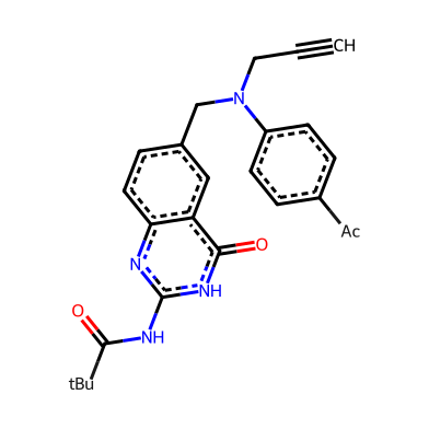 C#CCN(Cc1ccc2nc(NC(=O)C(C)(C)C)[nH]c(=O)c2c1)c1ccc(C(C)=O)cc1